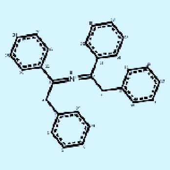 c1ccc(CC(=[N+]=C(Cc2ccccc2)c2ccccc2)c2ccccc2)cc1